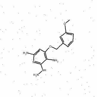 COc1cccc(COc2cc(N)nc(NN)c2N)c1